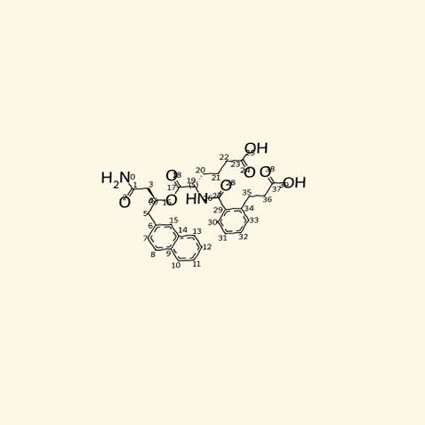 NC(=O)C[C@H](Cc1ccc2ccccc2c1)OC(=O)[C@H](CCCC(=O)O)NC(=O)c1ccccc1CCC(=O)O